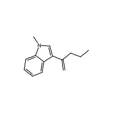 C=C(CCC)c1cn(C)c2ccccc12